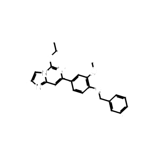 CCSc1nc(-c2ccc(OCc3ccccc3)c(OC)c2)cc2nccn12